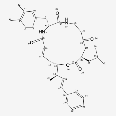 Cc1ccc(C[C@H]2NC(=O)/C=C/C[C@@H]([C@H](C)/C=C/c3ccccc3)OC(=O)[C@H](CC(C)C)CC(=O)CCNC2=O)cc1C